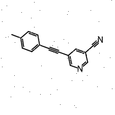 Cc1ccc(C#Cc2cncc(C#N)c2)cc1